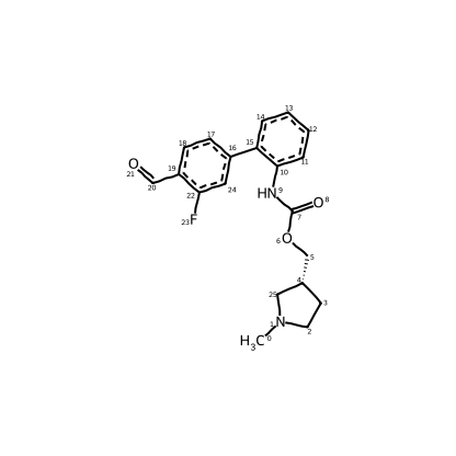 CN1CC[C@@H](COC(=O)Nc2ccccc2-c2ccc(C=O)c(F)c2)C1